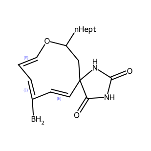 BC1=C\C=C\OC(CCCCCCC)CC2(\C=C\1)NC(=O)NC2=O